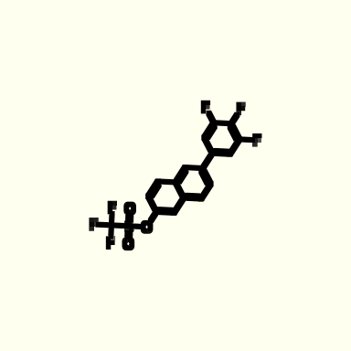 O=S(=O)(Oc1ccc2cc(-c3cc(F)c(F)c(F)c3)ccc2c1)C(F)(F)F